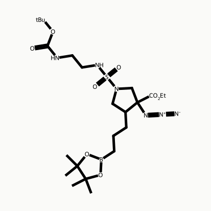 CCOC(=O)C1(N=[N+]=[N-])CN(S(=O)(=O)NCCNC(=O)OC(C)(C)C)CC1CCCB1OC(C)(C)C(C)(C)O1